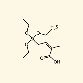 CCO[Si](CC=C(C)C(=O)O)(OCC)OCC.S